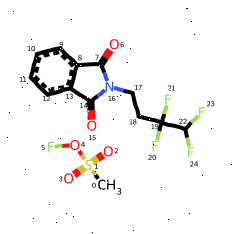 CS(=O)(=O)OF.O=C1c2ccccc2C(=O)N1CCC(F)(F)C(F)F